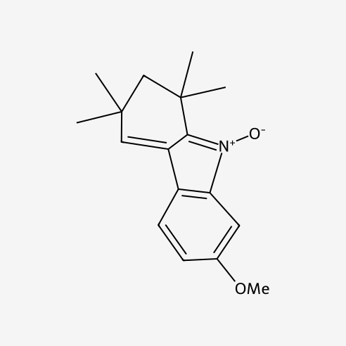 COc1ccc2c(c1)[N+]([O-])=C1C2=CC(C)(C)CC1(C)C